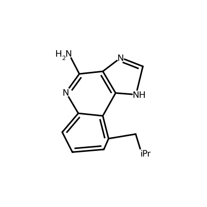 CC(C)Cc1cccc2nc(N)c3nc[nH]c3c12